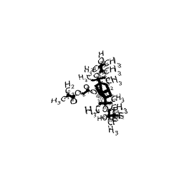 C=C(C)C(=O)OCC(=O)OC12CC3CC(C(CC)(CC)OC(C)C(C)(C)O)(C1)CC(C(CC)(CC)OC(C)C(C)(O)C(F)(F)F)(C3)C2